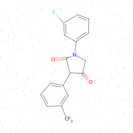 O=C1CN(c2cccc(F)c2)C(=O)C1c1cccc(C(F)(F)F)c1